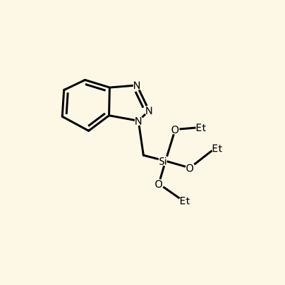 CCO[Si](Cn1nnc2ccccc21)(OCC)OCC